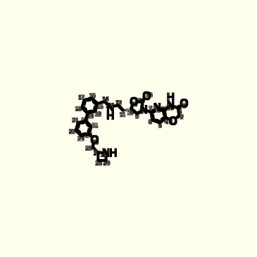 O=C1COc2ccc(N3C[C@H](CCNCc4cccc(-c5cccc(OC[C@@H]6CCN6)c5)c4)OC3=O)nc2N1